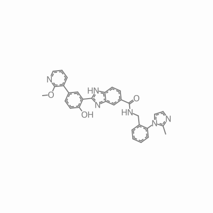 COc1ncccc1-c1ccc(O)c(-c2nc3cc(C(=O)NCc4ccccc4-n4ccnc4C)ccc3[nH]2)c1